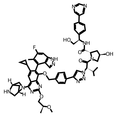 CO[C@@H](C)COc1nc(N2C[C@@H]3C[C@H]2CN3)c2cc(C3CC3)c(-c3c(C)c(F)cc4[nH]ncc34)c(OCc3ccc(-c4cn([C@H](C(=O)N5C[C@H](O)C[C@H]5C(=O)N[C@@H](CO)c5ccc(-c6cncnc6)cc5)C(C)C)nn4)cc3)c2n1